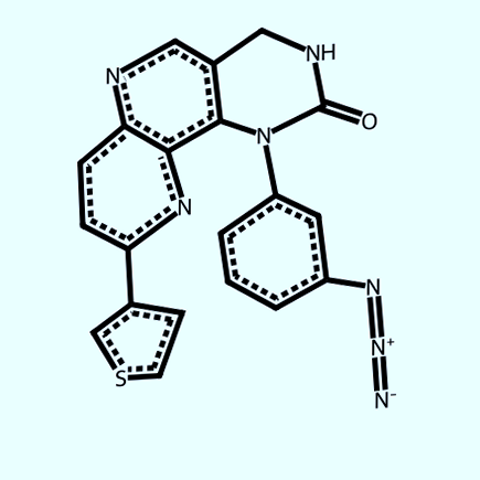 [N-]=[N+]=Nc1cccc(N2C(=O)NCc3cnc4ccc(-c5ccsc5)nc4c32)c1